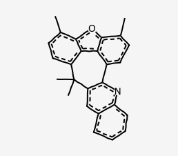 Cc1ccc2c3c1oc1c(C)ccc(c13)C(C)(C)c1cc3ccccc3nc1-2